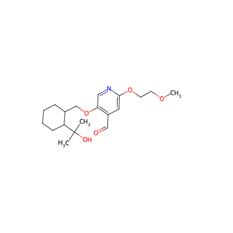 COCCOc1cc(C=O)c(OCC2CCCCC2C(C)(C)O)cn1